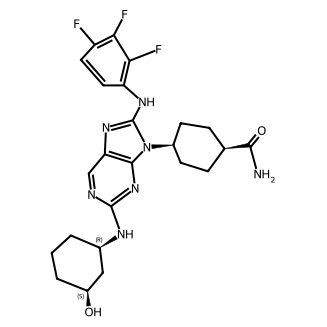 NC(=O)[C@H]1CC[C@@H](n2c(Nc3ccc(F)c(F)c3F)nc3cnc(N[C@@H]4CCC[C@H](O)C4)nc32)CC1